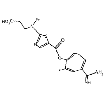 CCN(CCC(=O)O)c1ncc(C(=O)OC2=CCC=C(C(=N)N)C=C2F)s1